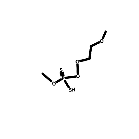 COCCOOP(=S)(S)OC